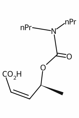 CCCN(CCC)C(=O)O[C@@H](C)/C=C\C(=O)O